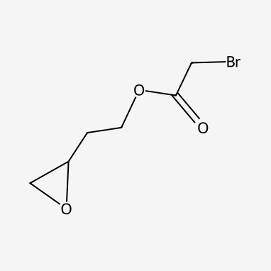 O=C(CBr)OCCC1CO1